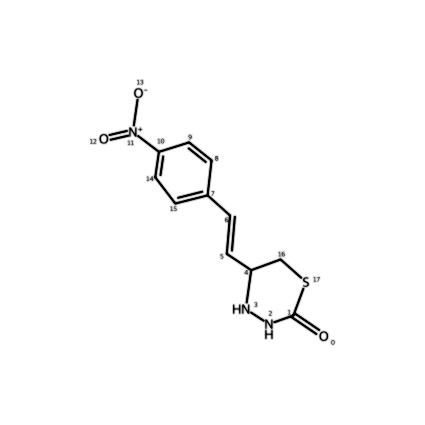 O=C1NNC(C=Cc2ccc([N+](=O)[O-])cc2)CS1